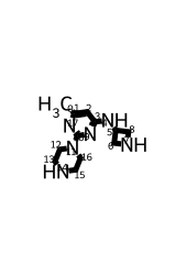 Cc1cc(NC2CNC2)nc(N2CCNCC2)n1